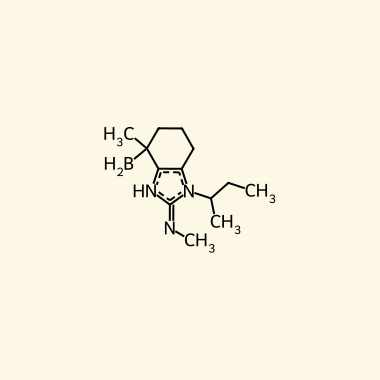 BC1(C)CCCc2c1[nH]/c(=N/C)n2C(C)CC